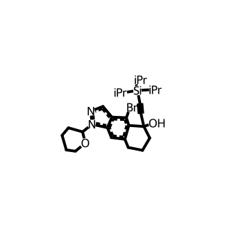 CC(C)[Si](C#CC1(O)CCCc2cc3c(cnn3C3CCCCO3)c(Br)c21)(C(C)C)C(C)C